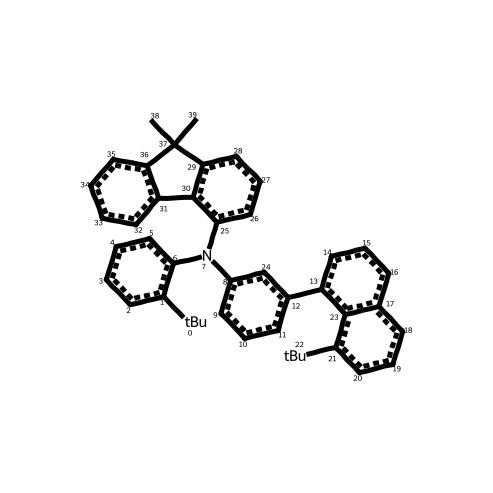 CC(C)(C)c1ccccc1N(c1cccc(-c2cccc3cccc(C(C)(C)C)c23)c1)c1cccc2c1-c1ccccc1C2(C)C